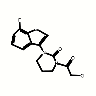 O=C(CCl)N1CCCN(c2csc3c(F)cccc23)C1=O